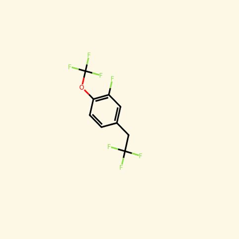 Fc1cc(CC(F)(F)F)ccc1OC(F)(F)F